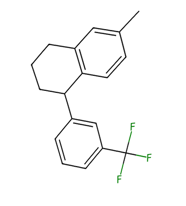 Cc1ccc2c(c1)CCCC2c1cccc(C(F)(F)F)c1